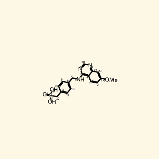 COc1ccc2c(NCc3ccc(CP(=O)(O)O)cc3)ncnc2c1